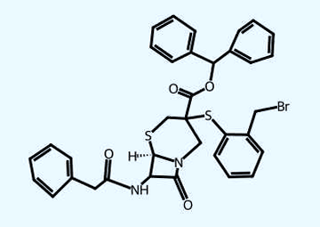 O=C(Cc1ccccc1)NC1C(=O)N2CC(Sc3ccccc3CBr)(C(=O)OC(c3ccccc3)c3ccccc3)CS[C@H]12